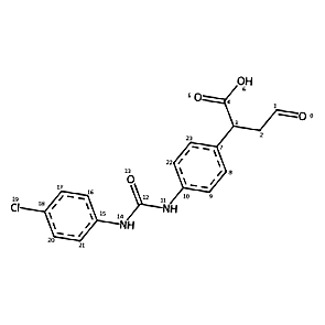 O=CCC(C(=O)O)c1ccc(NC(=O)Nc2ccc(Cl)cc2)cc1